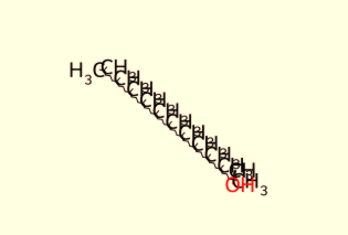 C#CC(C)(O)CC/C=C(\C)CC/C=C(\C)CC/C=C(\C)CC/C=C(\C)CC/C=C(\C)CC/C=C(\C)CC/C=C(\C)CC/C=C(\C)CC/C=C(\C)CCC=C(C)C